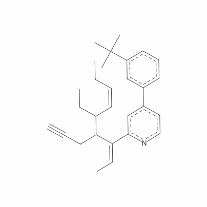 C#CCC(/C(=C\C)c1cc(-c2cccc(C(C)(C)C)c2)ccn1)C(C=CCC)CC